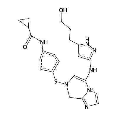 O=C(Nc1ccc(SN2C=C(Nc3cc(CCCO)[nH]n3)[N+]3C=CN=C3C2)cc1)C1CC1